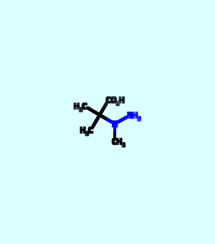 CN(N)C(C)(C)C(=O)O